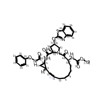 CC(C)(C)OC(=O)N[C@H]1CCCCC/C=C\[C@@H]2C[C@@]2(C(=O)NOc2ccccc2)NC(=O)[C@@H]2C[C@@H](Oc3nc4ccccc4s3)CN2C1=O